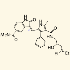 CCN(CC)CC(O)CNC(=O)c1c(C)[nH]c(/C=C2\C(=O)Nc3ccc(C(=O)NC)cc32)c1-c1ccccc1